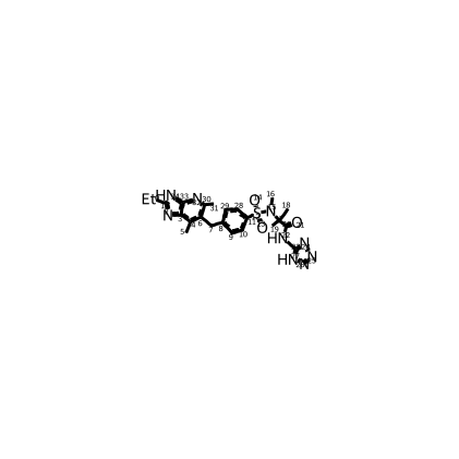 CCc1nc2c(C)c(Cc3ccc(S(=O)(=O)N(C)C(C)(C)C(=O)Nc4nnn[nH]4)cc3)c(C)nc2[nH]1